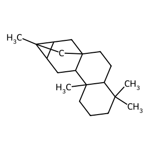 CC1(C)CCCC2(C)C1CCC13CC4C(CC12)C4(C)C3